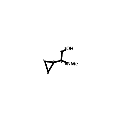 CNC(CO)C1CC1